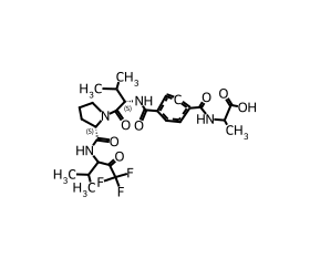 CC(NC(=O)c1ccc(C(=O)N[C@H](C(=O)N2CCC[C@H]2C(=O)NC(C(=O)C(F)(F)F)C(C)C)C(C)C)cc1)C(=O)O